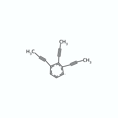 CC#Cc1[c]ccc(C#CC)c1C#CC